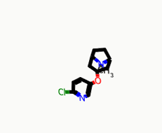 CN1C2CCC1CC(Oc1ccc(Cl)nc1)C2